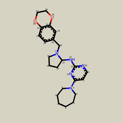 c1cc(N2CCCCCC2)nc(NC2CCCN2Cc2ccc3c(c2)OCCO3)n1